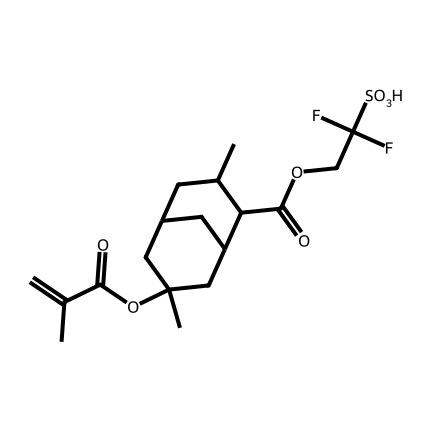 C=C(C)C(=O)OC1(C)CC2CC(C)C(C(=O)OCC(F)(F)S(=O)(=O)O)C(C2)C1